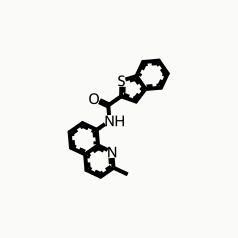 Cc1ccc2cccc(NC(=O)c3cc4ccccc4s3)c2n1